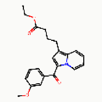 CCOC(=O)CCCc1cc(C(=O)c2cccc(OC)c2)n2ccccc12